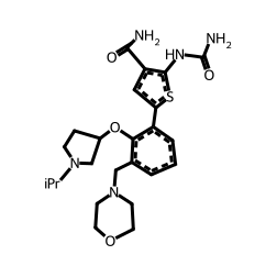 CC(C)N1CCC(Oc2c(CN3CCOCC3)cccc2-c2cc(C(N)=O)c(NC(N)=O)s2)C1